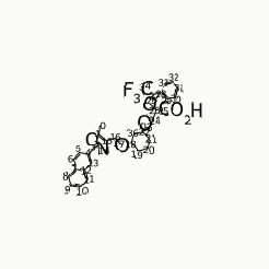 Cc1oc(-c2ccc3ccccc3c2)nc1CO[C@H]1CCC[C@@H](OCC(OC(c2ccccc2)C(F)(F)F)C(=O)O)C1